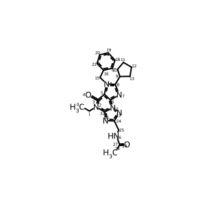 CCn1c(=O)c2c(nc(C3CCCC3)n2Cc2ccccc2)n2nc(CNC(C)=O)nc12